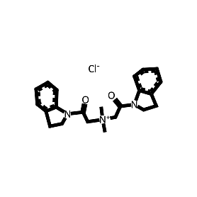 C[N+](C)(CC(=O)N1CCc2ccccc21)CC(=O)N1CCc2ccccc21.[Cl-]